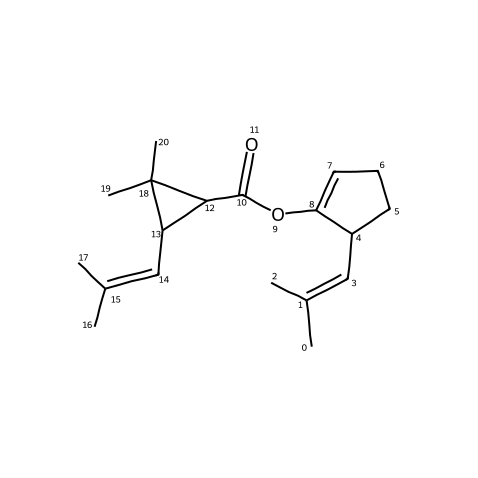 CC(C)=CC1CCC=C1OC(=O)C1C(C=C(C)C)C1(C)C